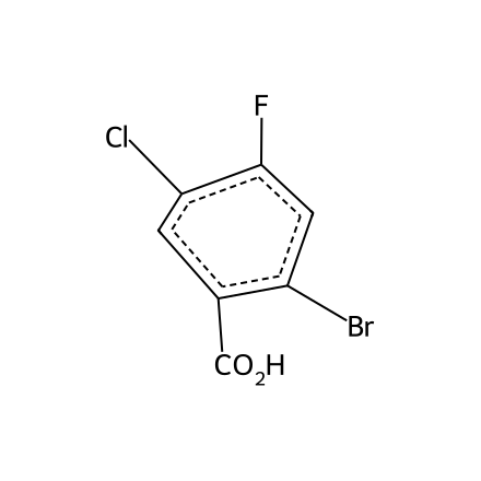 O=C(O)c1cc(Cl)c(F)cc1Br